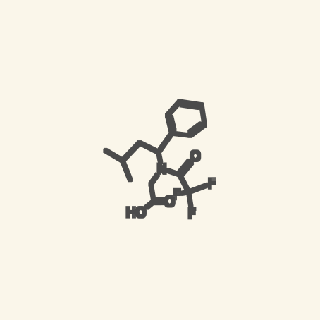 CC(C)CC(c1ccccc1)N(CC(=O)O)C(=O)C(F)(F)F